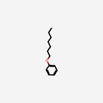 [CH2]CCCCCCOc1ccccc1